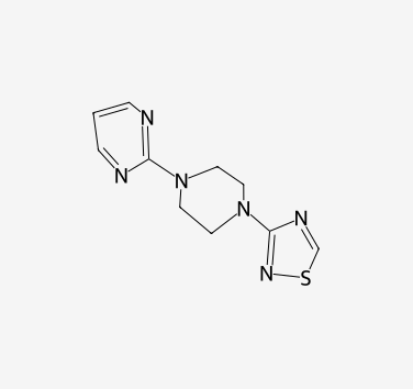 c1cnc(N2CCN(c3ncsn3)CC2)nc1